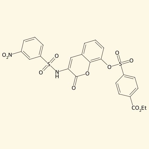 CCOC(=O)c1ccc(S(=O)(=O)Oc2cccc3cc(NS(=O)(=O)c4cccc([N+](=O)[O-])c4)c(=O)oc23)cc1